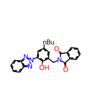 CCCCc1cc(CN2C(=O)c3ccccc3C2=O)c(O)c(-n2nc3ccccc3n2)c1